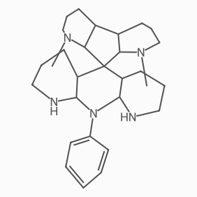 CN1CCCC2C3CCCN(C)C3C3(C4CCCNC4N(c4ccccc4)C4NCCCC43)C21